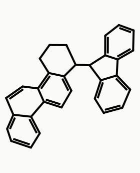 c1ccc2c(c1)-c1ccccc1C2C1CCCc2c1ccc1c2ccc2ccccc21